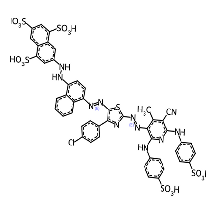 Cc1c(C#N)c(Nc2ccc(S(=O)(=O)O)cc2)nc(Nc2ccc(S(=O)(=O)O)cc2)c1/N=N/c1nc(-c2ccc(Cl)cc2)c(/N=N/c2ccc(NNc3cc(S(=O)(=O)O)c4cc(S(=O)(=O)O)cc(S(=O)(=O)O)c4c3)c3ccccc23)s1